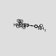 C[C@@](CCN1Cc2cc(C#Cc3ccc(C4(N)COC4)cc3)cn2C1=O)(C(=O)NO)S(C)(=O)=O